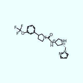 O=C(N[C@H]1CN[C@H](Cn2cccn2)C1)N1CCC(c2cccc(OC(F)(F)F)c2)C1